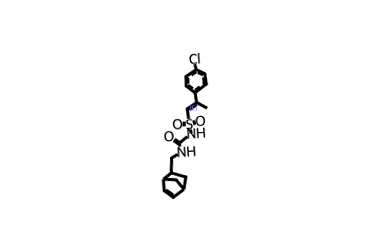 C/C(=C\S(=O)(=O)NC(=O)NCC1CC2C=CC1C2)c1ccc(Cl)cc1